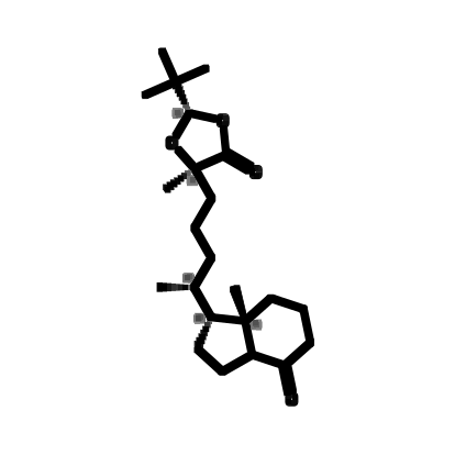 C[C@H](CCC[C@@]1(C)O[C@H](C(C)(C)C)OC1=O)[C@H]1CCC2C(=O)CCC[C@]21C